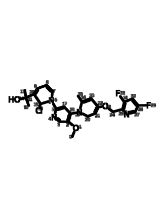 COc1cnc(N2C=CC=C(C(C)(C)O)C2Cl)cc1N1CC=C(OCc2ncc(F)cc2F)C=C1C